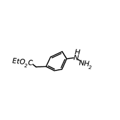 CCOC(=O)Cc1ccc(NN)cc1